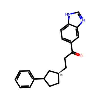 O=C(CC[C@H]1CCC(c2ccccc2)C1)c1ccc2[nH]cnc2c1